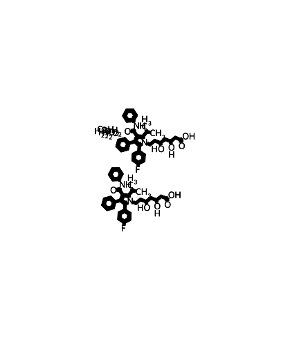 CC(C)c1c(C(=O)Nc2ccccc2)c(-c2ccccc2)c(-c2ccc(F)cc2)n1CCC(O)CC(O)CC(=O)O.CC(C)c1c(C(=O)Nc2ccccc2)c(-c2ccccc2)c(-c2ccc(F)cc2)n1CCC(O)CC(O)CC(=O)O.O.O.O.[CaH2].[CaH2]